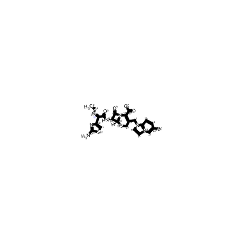 CO/N=C(\C(=O)N[C@@H]1C(=O)N2C(C(=O)[O-])=C(Cn3cc[n+]4cc(Br)ccc34)CS[C@@H]12)c1csc(N)n1